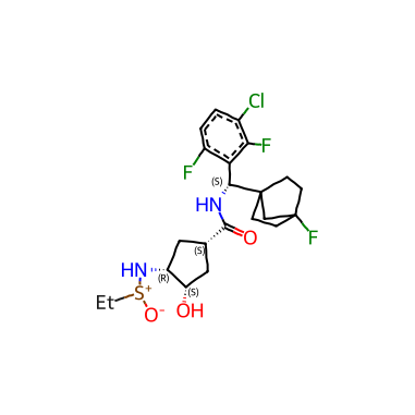 CC[S+]([O-])N[C@@H]1C[C@H](C(=O)N[C@H](c2c(F)ccc(Cl)c2F)C23CCC(F)(CC2)C3)C[C@@H]1O